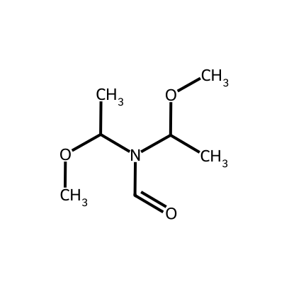 COC(C)N(C=O)C(C)OC